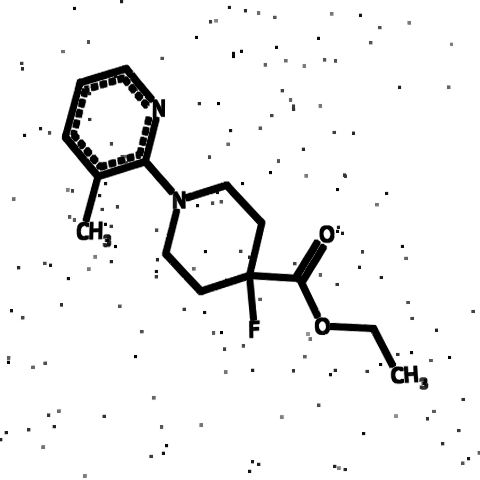 CCOC(=O)C1(F)CCN(c2ncccc2C)CC1